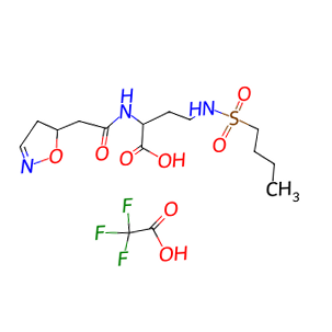 CCCCS(=O)(=O)NCCC(NC(=O)CC1CC=NO1)C(=O)O.O=C(O)C(F)(F)F